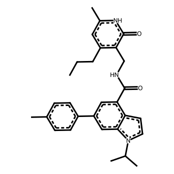 CCCc1cc(C)[nH]c(=O)c1CNC(=O)c1cc(-c2ccc(C)cc2)cc2c1ccn2C(C)C